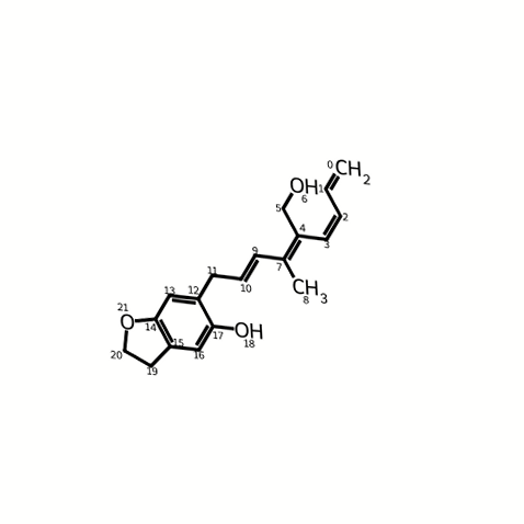 C=C\C=C/C(CO)=C(C)/C=C/Cc1cc2c(cc1O)CCO2